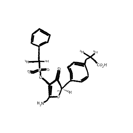 [2H]C([2H])(C(=O)O)c1ccc([C@@]2([2H])OC(N)=C(OS(=O)(=O)C([2H])([2H])c3ccccc3)C2=O)cc1